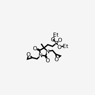 CCOP(=O)(CCC1(C)C(=O)N(CC2CO2)C(=O)N1CC1CO1)OCC